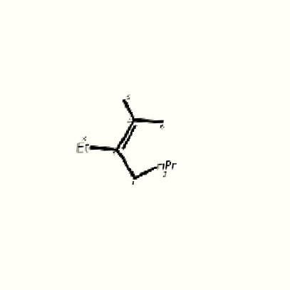 CCCCC(CC)=C(C)C